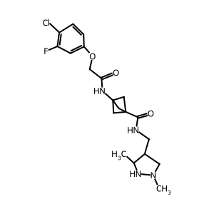 CC1NN(C)CC1CNC(=O)C12CC(NC(=O)COc3ccc(Cl)c(F)c3)(C1)C2